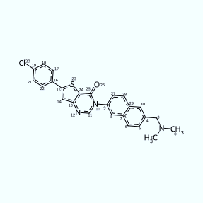 CN(C)Cc1ccc2cc(-n3cnc4cc(-c5ccc(Cl)cc5)sc4c3=O)ccc2c1